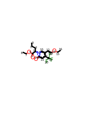 CCCC(C(=O)OCC)n1cc(/C=C/OCC)c(C(F)(F)F)cc1=O